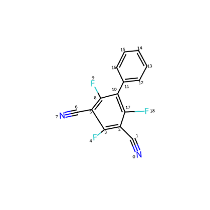 N#Cc1c(F)c(C#N)c(F)c(-c2ccccc2)c1F